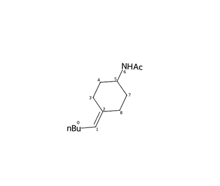 CCCCC=C1CCC(NC(C)=O)CC1